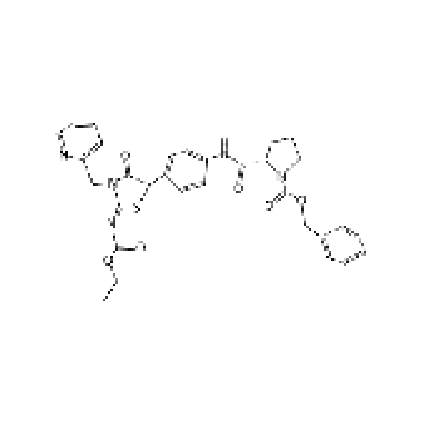 CCOC(=O)/N=C1\SC(c2ccc(NC(=O)[C@@H]3CCCN3C(=O)OCc3ccccc3)cc2)C(=O)N1Cc1ccccn1